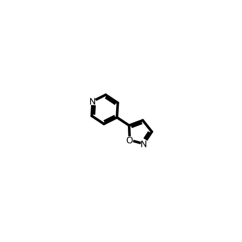 c1cc(-c2ccno2)ccn1